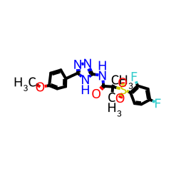 COc1ccc(-c2nnc(NC(=O)C(C)(C)S(=O)(=O)c3ccc(F)cc3F)[nH]2)cc1